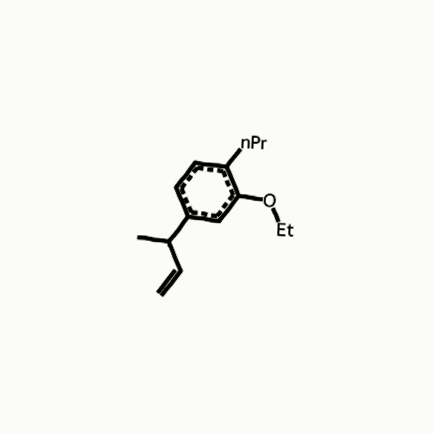 C=C[C](C)c1ccc(CCC)c(OCC)c1